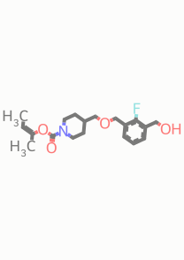 C/C=C(/C)OC(=O)N1CCC(COCc2cccc(CO)c2F)CC1